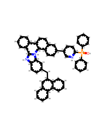 O=P(c1ccccc1)(c1ccccc1)c1ccc(-c2ccc3c(ccc4c5ccccc5c5nc6ccc(Cc7cc8ccccc8c8ccccc78)cc6n5c34)c2)cn1